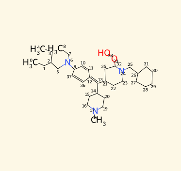 CCC(CC)CN(CC)C1C=CC(=C(C2CCN(C)CC2)C2CCN(CC3CCCCC3)C(OO)C2)C=C1